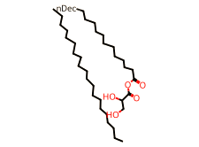 CCCCCCCCCCCCCCCCCCCC.CCCCCCCCCCCCCCCCCCCCCC(=O)OC(=O)C(O)CO